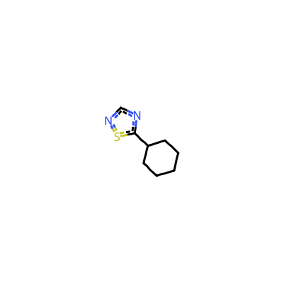 c1nsc(C2CCCCC2)n1